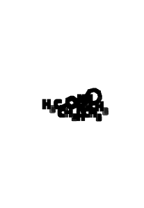 CC(C)c1ccc2c(c1)NC(C(C)C)(C1CCCCCCC1)N2